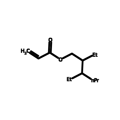 C=CC(=O)OCC(CC)C(CC)CCC